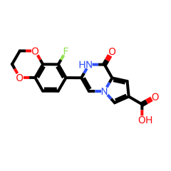 O=C(O)c1cc2c(=O)[nH]c(-c3ccc4c(c3F)OCCO4)cn2c1